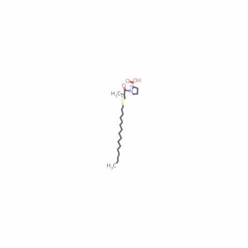 CCCCCCCCCCCCCCCCSC[C@@H](C)C(=O)N1CCC[C@H]1C(=O)O